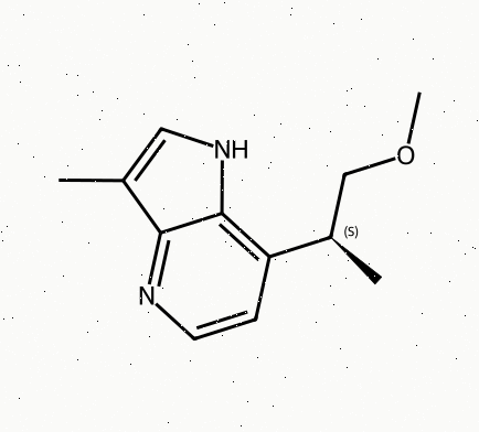 COC[C@@H](C)c1ccnc2c(C)c[nH]c12